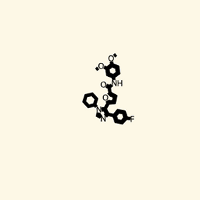 COc1ccc(NC(=O)c2ccc(-c3c(-c4ccc(F)cc4)ncn3C3CCCCC3)o2)cc1OC